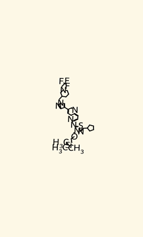 C[Si](C)(C)CCOCn1nc(C2CCCC2)s/c1=N\c1ccc2ncc(-c3cnn(CC4CCCN(CC(F)(F)F)C4)c3)cc2n1